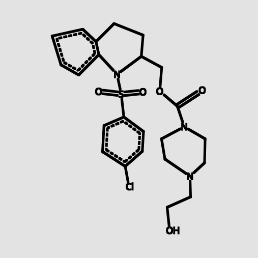 O=C(OCC1CCc2ccccc2N1S(=O)(=O)c1ccc(Cl)cc1)N1CCN(CCO)CC1